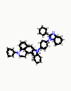 C1=CN(c2ccccc2)c2cccc3cc4c(c1c23)c1ccccc1n4-c1ccc(-n2c(-c3ccccc3)nc3ccccc32)cc1